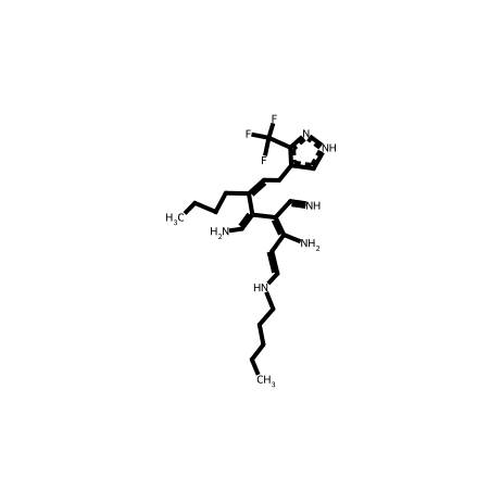 CCCCCN/C=C/C(N)=C(C=N)\C(=C\N)C(=C/Cc1c[nH]nc1C(F)(F)F)\CCCC